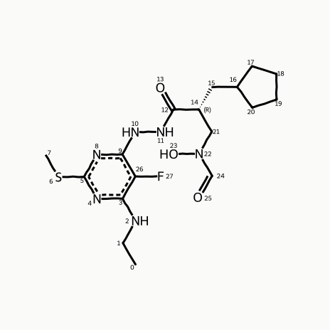 CCNc1nc(SC)nc(NNC(=O)[C@H](CC2CCCC2)CN(O)C=O)c1F